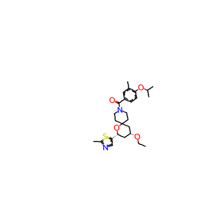 CCO[C@@H]1C[C@H](c2cnc(C)s2)OC2(CCN(C(=O)c3ccc(OC(C)C)c(C)c3)CC2)C1